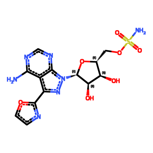 Nc1ncnc2c1c(-c1ncco1)nn2[C@@H]1O[C@H](COS(N)(=O)=O)[C@@H](O)[C@H]1O